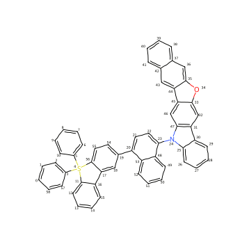 c1ccc(S2(c3ccccc3)c3ccccc3-c3cc(-c4ccc(-n5c6ccccc6c6cc7oc8cc9ccccc9cc8c7cc65)c5ccccc45)ccc32)cc1